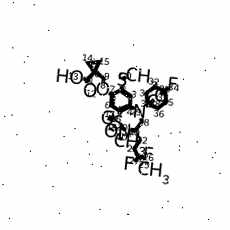 CSc1cc2c(cc1OCC1(C(=O)O)CC1)S(=O)(=O)N(C)[C@H](CCC(C)(F)F)CN2C12CCC(F)(CC1)CC2